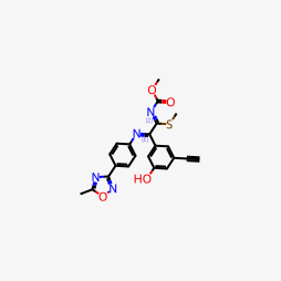 C#Cc1cc(O)cc(C(=N\c2ccc(-c3noc(C)n3)cc2)/C(=N/C(=O)OC)SC)c1